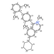 Cc1cc(-c2c(C)cccc2C)ccc1-c1c2ccc(C3CCCCC3)cc2cc[n+]1C